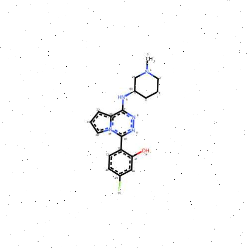 CN1CCC[C@@H](Nc2nnc(-c3ccc(F)cc3O)n3cccc23)C1